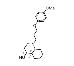 COc1ccc(OCCCN2CC[C@H](O)[C@@H]3CCCCC32)cc1